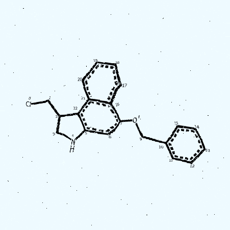 ClCC1CNc2cc(OCc3ccccc3)c3ccccc3c21